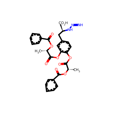 C[C@H](OC(=O)c1ccccc1)C(=O)Oc1ccc(C[C@H](NN=N)C(=O)O)cc1OC(=O)[C@H](C)OC(=O)c1ccccc1